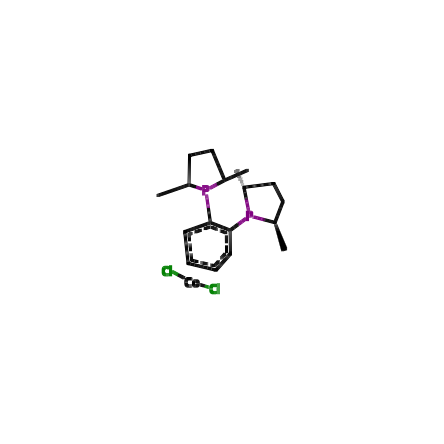 CC1CCC(C)P1c1ccccc1P1[C@H](C)CC[C@H]1C.[Cl][Co][Cl]